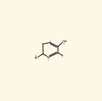 CC1=NC(Br)CC=C1O